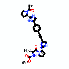 CC(C)C(=O)N1CCC[C@H]1c1ncc(-c2ccc(C#Cc3cnc([C@@H]4CCCN4C(=O)[C@@H](C)NC(=O)OC(C)(C)C)[nH]3)cc2)[nH]1